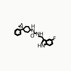 CN(C)C1(c2ccccc2)CCC(NC(=O)NCCc2c[nH]c3ccc(F)cc23)CC1